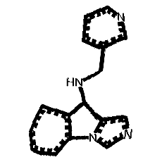 c1cncc(CNC2c3ccccc3-n3cncc32)c1